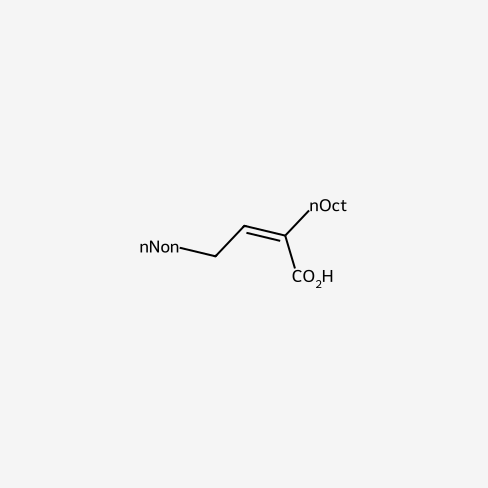 CCCCCCCCCC/C=C(/CCCCCCCC)C(=O)O